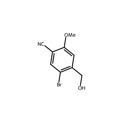 COc1cc(CO)c(Br)cc1C#N